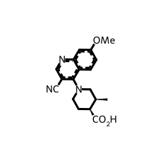 COc1ccc2c(N3CC[C@H](C(=O)O)[C@H](C)C3)c(C#N)cnc2c1